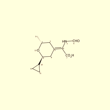 C[C@@H]1CC(=C(NC=O)C(=O)O)C[C@@H](C2CC2)O1